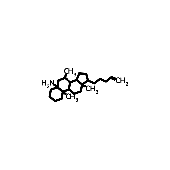 C=CCCCC1CCC2C3C(C)CC4(N)CCCCC4(C)C3CCC12C